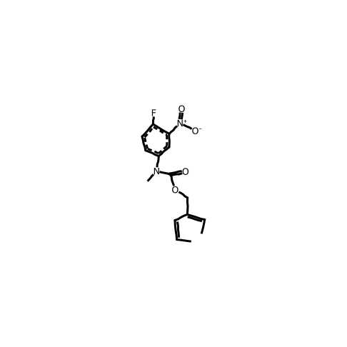 C/C=C\C(=C/C)COC(=O)N(C)c1ccc(F)c([N+](=O)[O-])c1